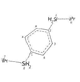 CC(C)[SiH2]c1ccc([SiH2]C(C)C)cc1